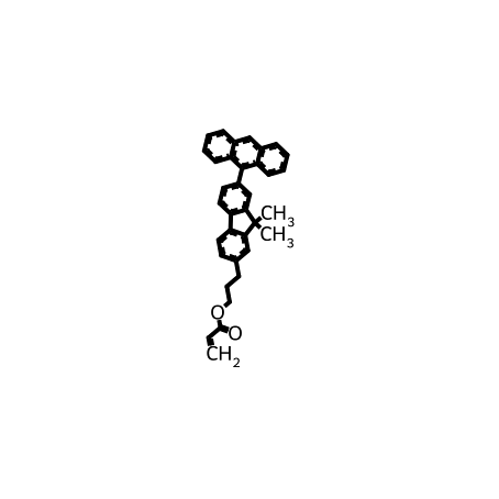 C=CC(=O)OCCCc1ccc2c(c1)C(C)(C)c1cc(-c3c4ccccc4cc4ccccc34)ccc1-2